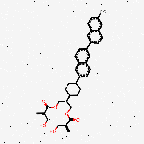 C=C(CO)C(=O)OCC(COC(=O)C(=C)CO)C1CCC(c2ccc3cc(-c4ccc5cc(CCC)ccc5c4)ccc3c2)CC1